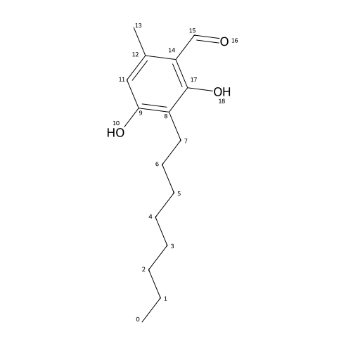 CCCCCCCCc1c(O)cc(C)c(C=O)c1O